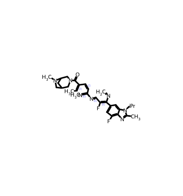 C=N\C(=C(F)/C=N/C(/C=C\C(=C\C)C(=O)N1CC2CC(C1)N(C)C2)=N/C)c1cc(F)c2nc(C)n(C(C)C)c2c1